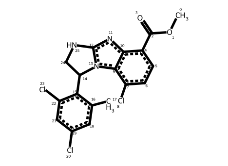 COC(=O)c1ccc(Cl)c2c1nc1n2C(c2c(C)cc(Cl)cc2Cl)CN1